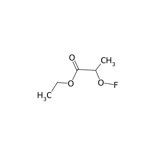 CCOC(=O)C(C)OF